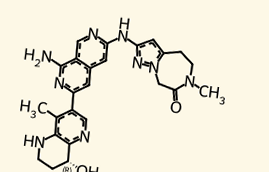 Cc1c(-c2cc3cc(Nc4cc5n(n4)CC(=O)N(C)CC5)ncc3c(N)n2)cnc2c1NCC[C@H]2O